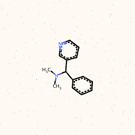 CN(C)[C](c1ccccc1)c1cccnc1